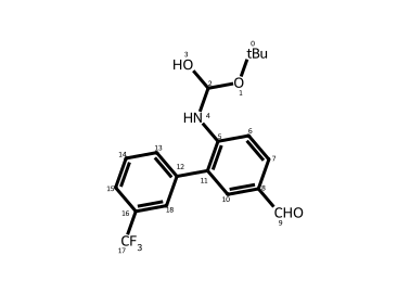 CC(C)(C)OC(O)Nc1ccc(C=O)cc1-c1cccc(C(F)(F)F)c1